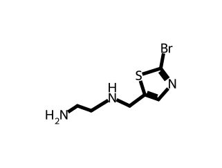 NCCNCc1cnc(Br)s1